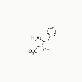 O=C(O)CC(O)C([AsH2])Cc1ccccc1